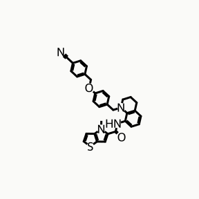 Cn1c(C(=O)Nc2cccc3c2N(Cc2ccc(OCc4ccc(C#N)cc4)cc2)CCC3)cc2sccc21